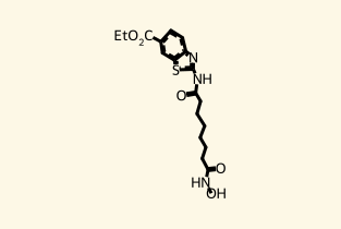 CCOC(=O)c1ccc2nc(NC(=O)CCCCCCC(=O)NO)sc2c1